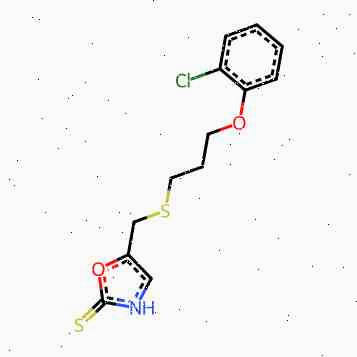 S=c1[nH]cc(CSCCCOc2ccccc2Cl)o1